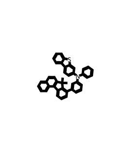 CC1(C)c2ccc3ccccc3c2-c2cccc(-c3cccc(N(c4ccccc4)c4ccc5c(c4)sc4ccccc45)c3)c21